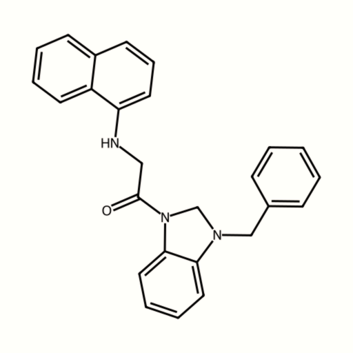 O=C(CNc1cccc2ccccc12)N1CN(Cc2ccccc2)c2ccccc21